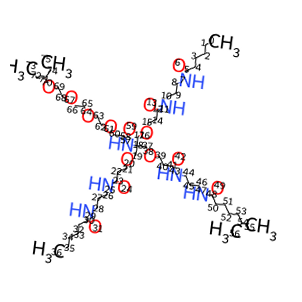 CCCCCC(=O)NCCCNC(=O)CCOCC(COCCC(=O)NCCCNC(=O)CCCCC)(COCCC(=O)NCCCNC(=O)CCCCC(C)C)NC(=O)COCCOCCOCCOC(CC)CC